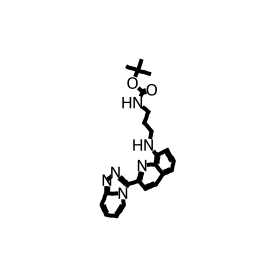 CC(C)(C)OC(=O)NCCCNc1cccc2ccc(-c3nnc4ccccn34)nc12